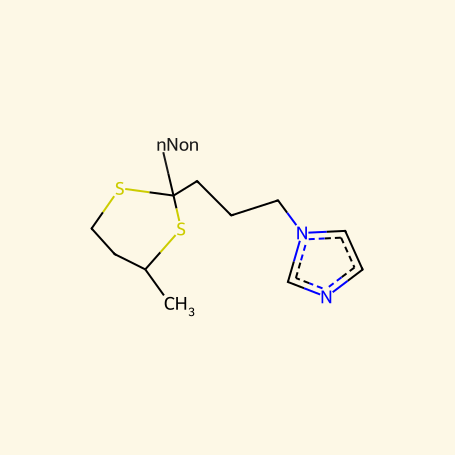 CCCCCCCCCC1(CCCn2ccnc2)SCCC(C)S1